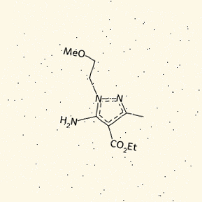 CCOC(=O)c1c(C)nn(CCOC)c1N